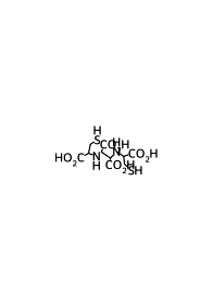 O=C(O)C(CS)NC(C(=O)O)C(NC(CS)C(=O)O)C(=O)O